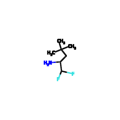 CC(C)(C)CC(N)C(F)F